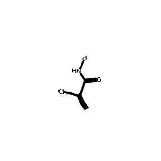 C=C(Cl)C(=O)NCl